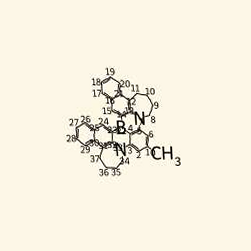 Cc1cc2c3c(c1)N1CCCCc4c1c(cc1ccccc41)B3c1cc3ccccc3c3c1N2CCCC3